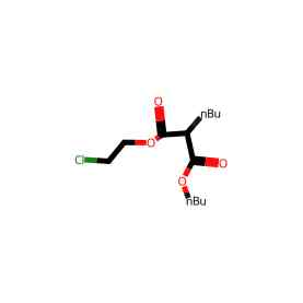 CCCCOC(=O)C(CCCC)C(=O)OCCCl